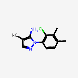 Cc1ccc(-n2ncc(C#N)c2N)c(Cl)c1C